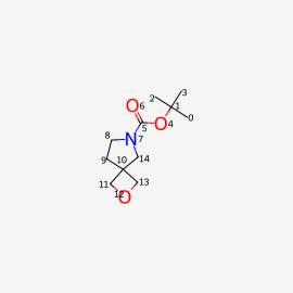 CC(C)(C)OC(=O)N1CCC2(COC2)C1